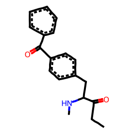 CCC(=O)C(Cc1ccc(C(=O)c2ccccc2)cc1)NC